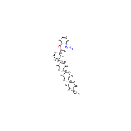 C=C(Oc1ccccc1N)c1cccc(-c2ccc(-c3ccc(-c4ccc(C(F)(F)F)cc4)cc3)cc2)c1